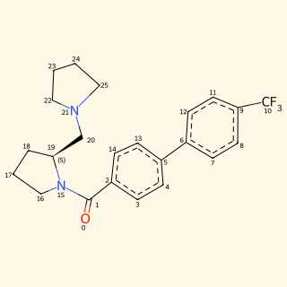 O=C(c1ccc(-c2ccc(C(F)(F)F)cc2)cc1)N1CCC[C@H]1CN1CCCC1